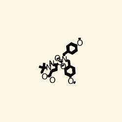 COc1ccc(CN(Cc2ccc(OC)cc2)S(=O)(=O)c2cc3n(n2)C(C)(C)COC3=O)cc1